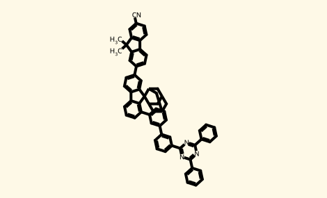 CC1(C)c2cc(C#N)ccc2-c2ccc(-c3ccc4c(c3)C3(c5c(-c6cccc(-c7cccc(-c8nc(-c9ccccc9)nc(-c9ccccc9)n8)c7)c6)cccc5-4)C4CC5CC(C4)CC3C5)cc21